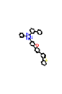 c1ccc(-c2cccc(-c3nc(-c4ccccc4)nc(-c4ccc5c(c4)oc4cc(-c6ccc7sc8ccccc8c7c6)ccc45)n3)c2)cc1